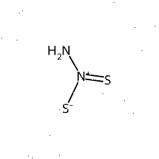 N[N+](=S)[S-]